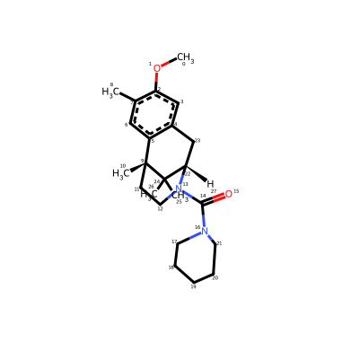 COc1cc2c(cc1C)[C@@]1(C)CCN(C(=O)N3CCCCC3)[C@@H](C2)C1(C)C